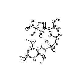 COc1cc(OC)c(C=CS(=O)(=O)Cc2ccc(OC)c(NC(=O)C(F)(F)C(C)=O)c2)c(OC)c1